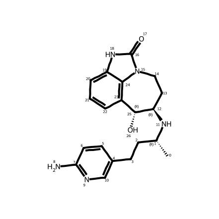 C[C@H](CCc1ccc(N)nc1)N[C@@H]1CCn2c(=O)[nH]c3cccc(c32)[C@H]1O